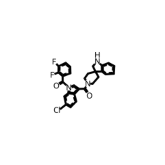 O=C(c1cn(C(=O)c2cccc(F)c2F)c2cc(Cl)ccc12)N1CCC2(CC1)CNc1ccccc12